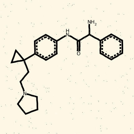 NC(C(=O)Nc1ccc(C2(CCN3CCCC3)CC2)cc1)c1ccccc1